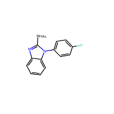 CC(=O)Nc1nc2ccccc2n1-c1ccc(F)cc1